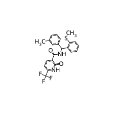 CSc1ccccc1C(NC(=O)c1ccc(C(F)(F)F)[nH]c1=O)c1cccc(C)c1